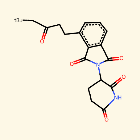 CC(C)(C)CC(=O)CCc1cccc2c1C(=O)N(C1CCC(=O)NC1=O)C2=O